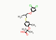 CCC(COc1ccc(Cl)c(Cl)c1)CSc1ccc(OC(C)(C)C(=O)O)c(C)c1